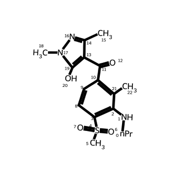 CCCNc1c(S(C)(=O)=O)ccc(C(=O)c2c(C)nn(C)c2O)c1C